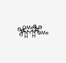 COc1c(NCCCNc2c(OC)c(=O)c2=O)c(=O)c1=O